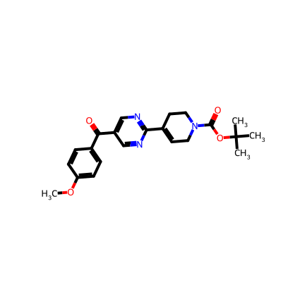 COc1ccc(C(=O)c2cnc(C3=CCN(C(=O)OC(C)(C)C)CC3)nc2)cc1